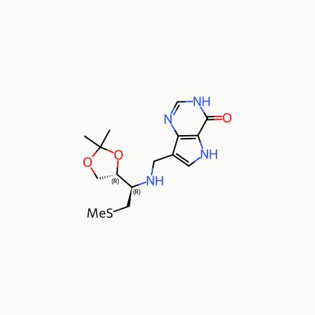 CSC[C@H](NCc1c[nH]c2c(=O)[nH]cnc12)[C@@H]1COC(C)(C)O1